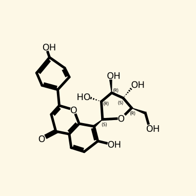 O=c1cc(-c2ccc(O)cc2)oc2c([C@@H]3O[C@H](CO)[C@@H](O)[C@H](O)[C@H]3O)c(O)ccc12